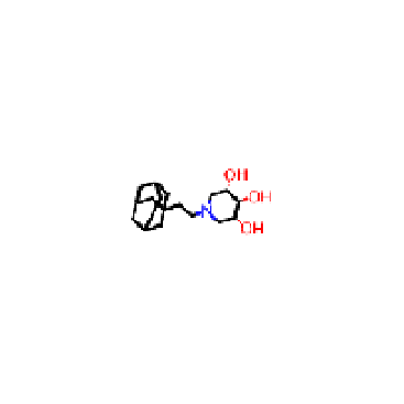 O[C@H]1[C@H](O)CN(CCC23CC4CC(CC(C4)C2)C3)C[C@@H]1O